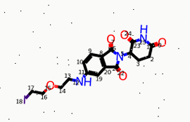 O=C1CCC(N2C(=O)c3ccc(NCCOCCI)cc3C2=O)C(=O)N1